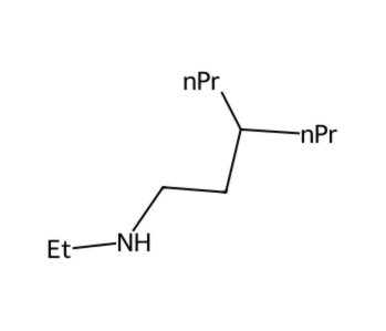 CCCC(CCC)CCNCC